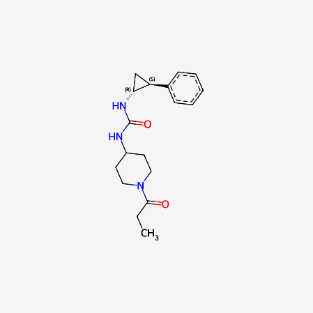 CCC(=O)N1CCC(NC(=O)N[C@@H]2C[C@H]2c2ccccc2)CC1